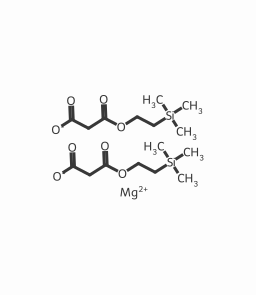 C[Si](C)(C)CCOC(=O)CC(=O)[O-].C[Si](C)(C)CCOC(=O)CC(=O)[O-].[Mg+2]